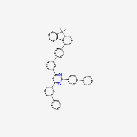 CC1(C)c2ccccc2-c2c(-c3ccc(-c4cccc(-c5cc(-c6cccc(-c7ccccc7)c6)nc(-c6ccc(-c7ccccc7)cc6)n5)c4)cc3)cccc21